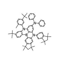 Cc1ccc(C(C)(C)C)cc1N1c2cc(C(C)(C)C)ccc2B2c3cc4c(cc3N(c3ccc5c(c3)C(C)(C)CC5(C)C)c3cc(N(c5ccccc5)c5ccccc5)cc1c32)C(C)(C)CC4(C)C